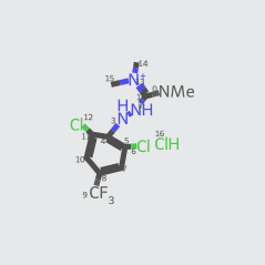 CNC(NNc1c(Cl)cc(C(F)(F)F)cc1Cl)=[N+](C)C.Cl